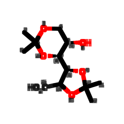 CC1(C)OC[C@H](O)[C@H]([C@@H]2OC(C)(C)OC2C(=O)O)O1